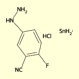 Cl.N#Cc1cc(NN)ccc1F.[SnH2]